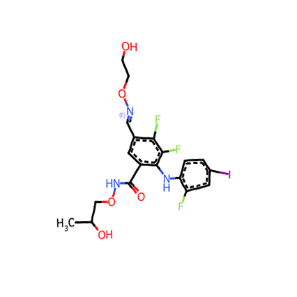 CC(O)CONC(=O)c1cc(/C=N/OCCO)c(F)c(F)c1Nc1ccc(I)cc1F